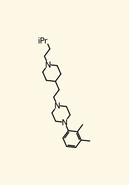 Cc1cccc(N2CCN(CCC3CCN(CCC(C)C)CC3)CC2)c1C